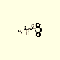 CC(=O)NCCC(=O)N1Cc2ccccc2C#Cc2ccccc21